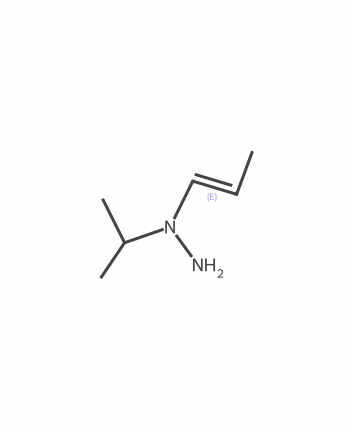 C/C=C/N(N)C(C)C